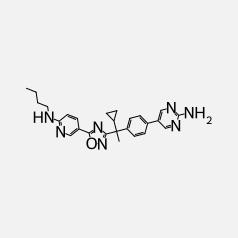 CCCCNc1ccc(-c2nc(C(C)(c3ccc(-c4cnc(N)nc4)cc3)C3CC3)no2)cn1